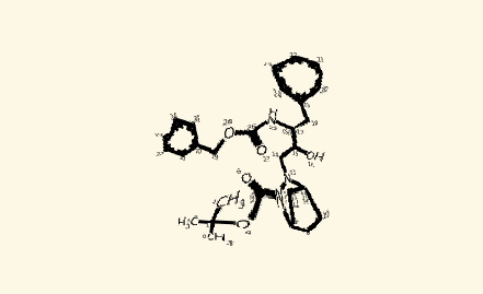 CC(C)(C)OC(=O)N1C2C=CC(C2)N1CC(O)[C@H](Cc1ccccc1)NC(=O)OCc1ccccc1